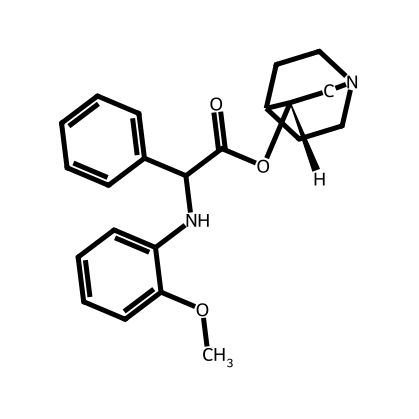 COc1ccccc1NC(C(=O)O[C@H]1CN2CCC1CC2)c1ccccc1